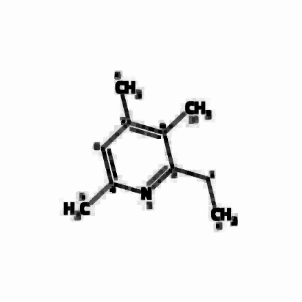 CCc1nc(C)cc(C)c1C